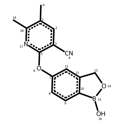 Cc1cc(C#N)c(Oc2ccc3c(c2)COB3O)nc1C